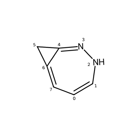 C1=CNN=C2CC2=C1